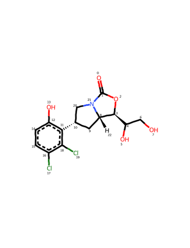 O=C1O[C@@H](C(O)CO)[C@@H]2C[C@H](c3c(O)ccc(Cl)c3Cl)CN12